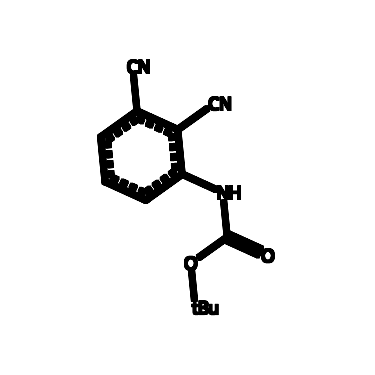 CC(C)(C)OC(=O)Nc1cccc(C#N)c1C#N